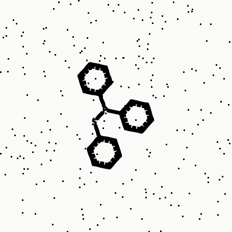 c1ccc(SP(c2ccccc2)c2ccccc2)cc1